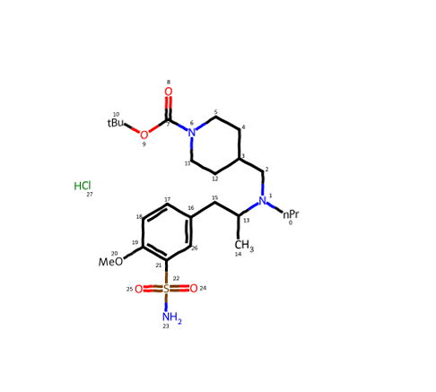 CCCN(CC1CCN(C(=O)OC(C)(C)C)CC1)C(C)Cc1ccc(OC)c(S(N)(=O)=O)c1.Cl